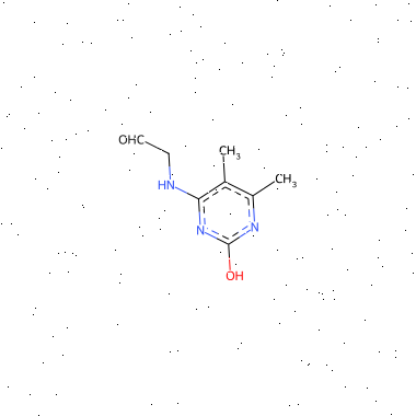 Cc1nc(O)nc(NCC=O)c1C